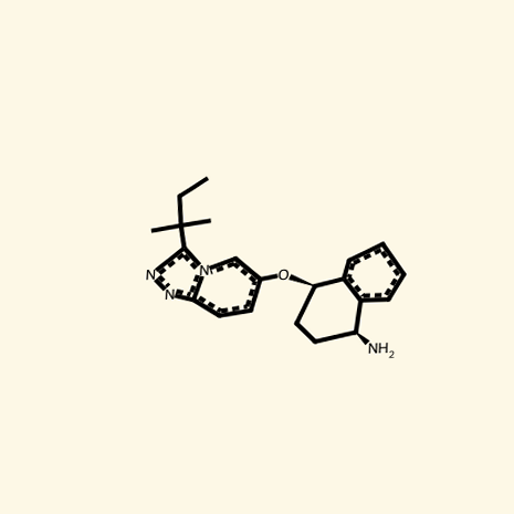 CCC(C)(C)c1nnc2ccc(O[C@@H]3CC[C@H](N)c4ccccc43)cn12